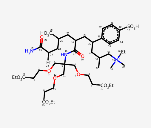 CCOC(=O)CCOCC(COCCC(=O)OCC)(COCCC(=O)OCC)NC(=O)C(CC(CC(CC)C(N)=O)C(=O)O)CC(CC(C)C[N+](C)(C)CC)c1ccc(S(=O)(=O)O)cc1